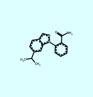 CC(C)c1ccc2cnn(-c3ccccc3C(N)=O)c2c1